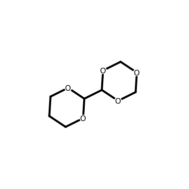 C1COC(C2OCOCO2)OC1